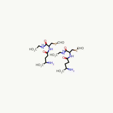 NC(CCC(=O)NC(CSC=O)C(=O)NCC(=O)O)C(=O)O.NC(CCC(=O)NC(CSC=O)C(=O)NCC(=O)O)C(=O)O